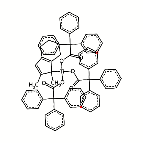 CC1=CC2=C(CCCC2)[C]1(C)[Ti]([O]C(=O)C(c1ccccc1)(c1ccccc1)c1ccccc1)([O]C(=O)C(c1ccccc1)(c1ccccc1)c1ccccc1)[O]C(=O)C(c1ccccc1)(c1ccccc1)c1ccccc1